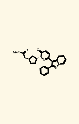 COC(=O)C[C@@H]1CC[C@@H](n2nc(-c3c(-c4ccccc4)nn4ccccc34)ccc2=O)C1